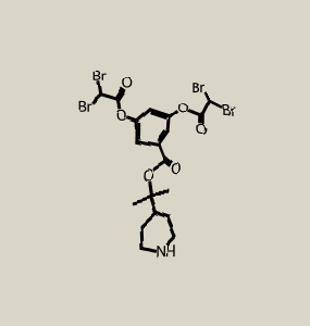 CC(C)(OC(=O)c1cc(OC(=O)C(Br)Br)cc(OC(=O)C(Br)Br)c1)C1CCNCC1